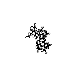 CCO[C@@H]1OC(CC)[C@@H](O[C@H]2OC(CC)[C@@H](O[C@H]3OC(CC)[C@@H](OC(C)=O)[C@H](OC(C)=O)C3OC(C)=O)[C@H](OC(C)=O)C2OC(C)=O)[C@H](OC(C)=O)C1C